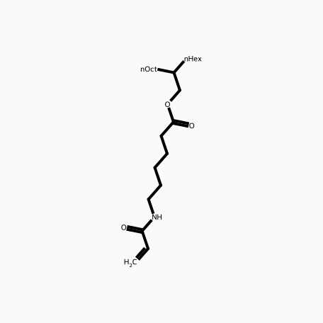 C=CC(=O)NCCCCCC(=O)OCC(CCCCCC)CCCCCCCC